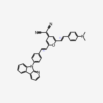 CN(C)c1ccc(/C=C/C2=CC(=C(C#N)C#N)C=C(/C=C/c3ccc(-n4c5ccccc5c5cccnc54)cc3)O2)cc1